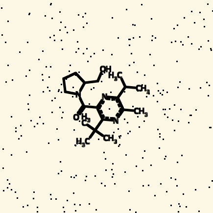 Cc1nc(C(C)(C)C)c(C(=O)N2CCCC2CO)nc1C(C)C